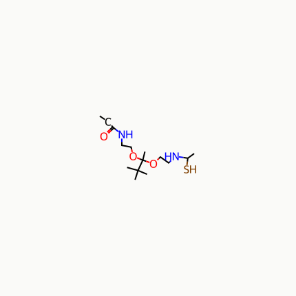 CCC(=O)NCCOC(C)(OCCNC(C)S)C(C)(C)C